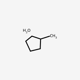 CC1CCCC1.O